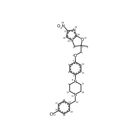 CC1(COc2ccc(N3CCN(Cc4ccc(Cl)cc4)CC3)cc2)Cn2cc([N+](=O)[O-])nc2O1